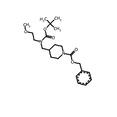 COCCN(CC1CCN(C(=O)OCc2ccccc2)CC1)C(=O)OC(C)(C)C